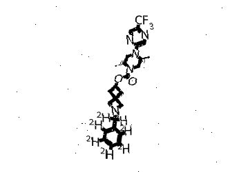 [2H]c1c([2H])c([2H])c(C([2H])([2H])N2CC3(CC(OC(=O)N4C[C@H](C)N(c5cnc(C(F)(F)F)cn5)C[C@H]4C)C3)C2)c([2H])c1[2H]